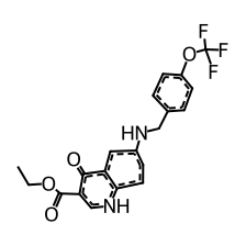 CCOC(=O)c1c[nH]c2ccc(NCc3ccc(OC(F)(F)F)cc3)cc2c1=O